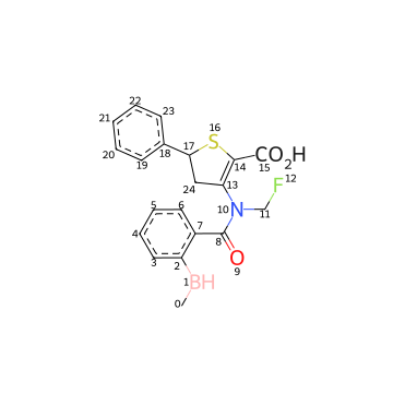 CBc1ccccc1C(=O)N(CF)C1=C(C(=O)O)SC(c2ccccc2)C1